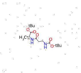 C[C@H](NC(=O)C[CH]NC(=O)OC(C)(C)C)C(=O)OC(C)(C)C